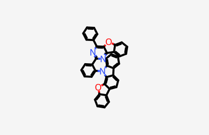 c1ccc(-c2nc(-c3ccccc3-n3c4ccccc4c4ccc5c6ccccc6oc5c43)nc3c2oc2ccccc23)cc1